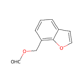 O=COCc1cccc2ccoc12